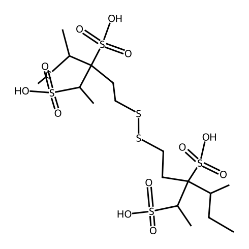 CCC(C)C(CCSSCCC(C(C)CC)(C(C)S(=O)(=O)O)S(=O)(=O)O)(C(C)S(=O)(=O)O)S(=O)(=O)O